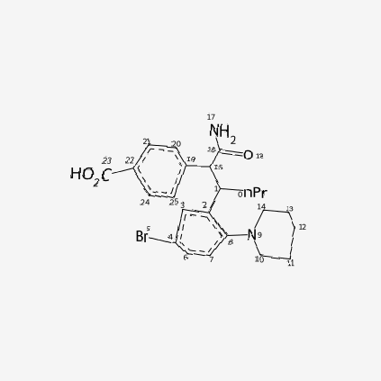 CCCC(c1cc(Br)ccc1N1CCCCC1)C(C(N)=O)c1ccc(C(=O)O)cc1